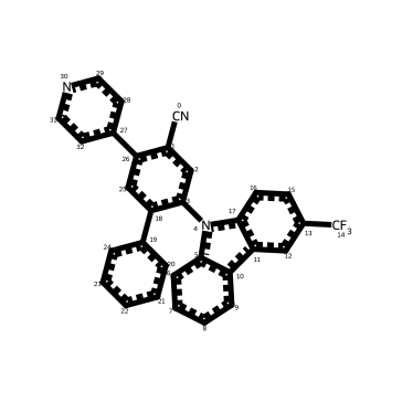 N#Cc1cc(-n2c3ccccc3c3cc(C(F)(F)F)ccc32)c(-c2ccccc2)cc1-c1ccncc1